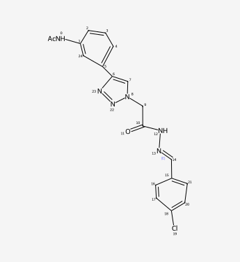 CC(=O)Nc1cccc(-c2cn(CC(=O)N/N=C/c3ccc(Cl)cc3)nn2)c1